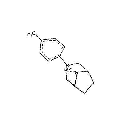 Cc1ccc(N2CC3CCC(C2)N3C)cc1